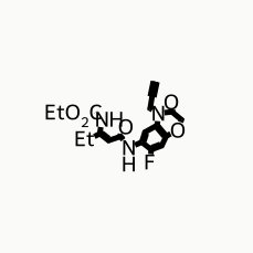 C#CCN1C(=O)COc2cc(F)c(NC(=O)/C=C(/CC)NC(=O)OCC)cc21